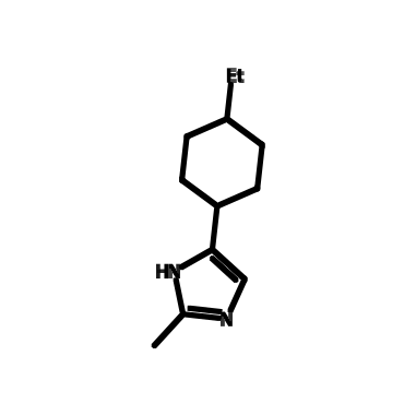 CCC1CCC(c2cnc(C)[nH]2)CC1